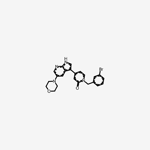 O=c1cc(-c2c[nH]c3ncc(N4CCOCC4)cc23)ccn1Cc1cccc(Br)c1